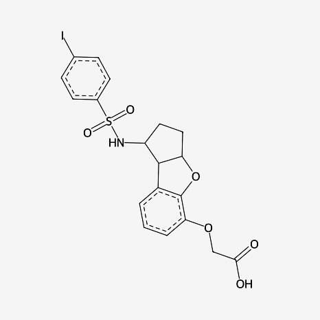 O=C(O)COc1cccc2c1OC1CCC(NS(=O)(=O)c3ccc(I)cc3)C21